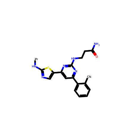 CC(C)Nc1ncc(-c2cc(-c3ccccc3C#N)nc(NCCC(N)=O)n2)s1